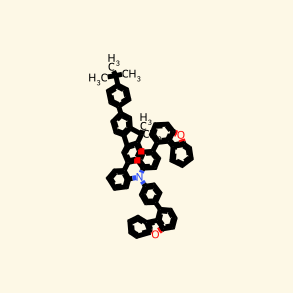 CC(C)(C)c1ccc(-c2ccc3c(c2)C(C)(C)c2ccc(-c4ccccc4N(c4ccc(-c5cccc6oc7ccccc7c56)cc4)c4ccc(-c5cccc6oc7ccccc7c56)cc4)cc2-3)cc1